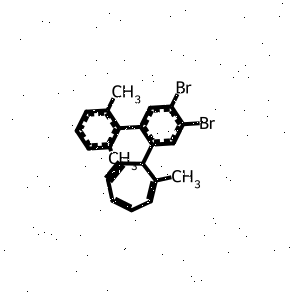 CC1=CC=CC#CC1c1cc(Br)c(Br)cc1-c1c(C)cccc1C